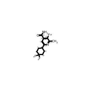 Cc1nc(C2CCC(F)(F)CC2)cc(C(N)=O)c1F